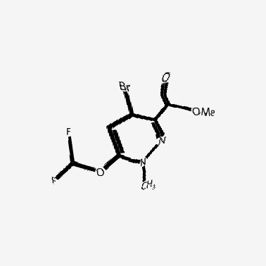 COC(=O)C1=NN(C)C(OC(F)F)=CC1Br